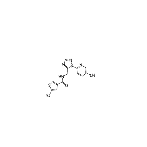 CCc1cc(C(=O)NCc2ncnn2-c2ccc(C#N)cn2)cs1